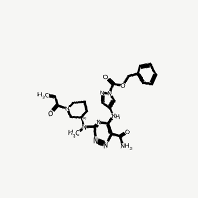 C=CC(=O)N1CCC[C@@H](N(C)c2nnc(C(N)=O)c(Nc3cnn(C(=O)OCc4ccccc4)c3)n2)C1